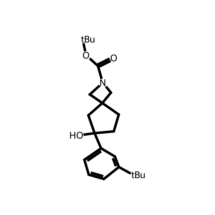 CC(C)(C)OC(=O)N1CC2(CCC(O)(c3cccc(C(C)(C)C)c3)C2)C1